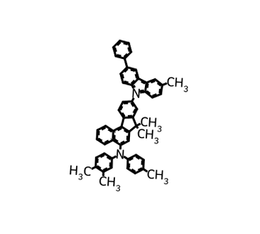 Cc1ccc(N(c2ccc(C)c(C)c2)c2cc3c(c4ccccc24)-c2ccc(-n4c5ccc(C)cc5c5cc(-c6ccccc6)ccc54)cc2C3(C)C)cc1